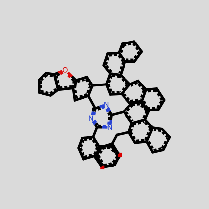 c1ccc(Cc2cc3ccccc3c3cccc(-c4nc(-c5cc6c(cc5-c5cc7cc8ccccc8cc7c7c5ccc5ccccc57)oc5ccccc56)nc(-c5cccc6ccccc56)n4)c23)cc1